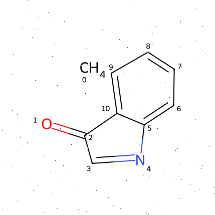 C.O=C1C=Nc2ccccc21